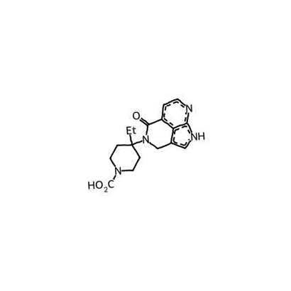 CCC1(N2Cc3c[nH]c4nccc(c34)C2=O)CCN(C(=O)O)CC1